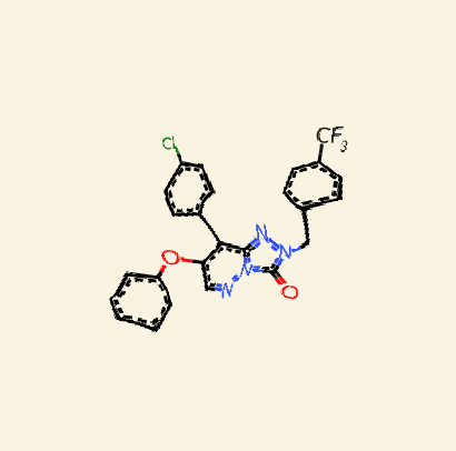 O=c1n(Cc2ccc(C(F)(F)F)cc2)nc2c(-c3ccc(Cl)cc3)c(Oc3ccccc3)cnn12